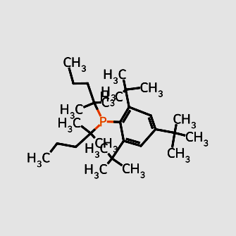 CCCC(C)(C)P(c1c(C(C)(C)C)cc(C(C)(C)C)cc1C(C)(C)C)C(C)(C)CCC